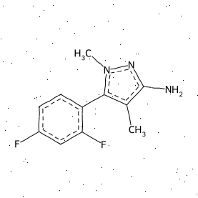 Cc1c(N)nn(C)c1-c1ccc(F)cc1F